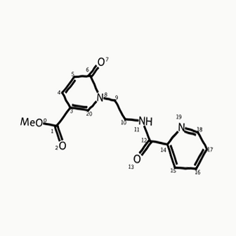 COC(=O)c1ccc(=O)n(CCNC(=O)c2ccccn2)c1